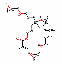 C=C(C)C(=O)OCCC[Si](C)(CCCOCC1CO1)O[Si](C)(C)O[Si](C)(C)CCCOCC1CO1